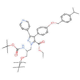 CCOC(=O)c1c(-c2ccc(OCc3ccc(C(C)C)cc3)cc2)c(-c2ccncc2)nn1CC(CO[Si](C)(C)C(C)(C)C)NC(=O)OC(C)(C)C